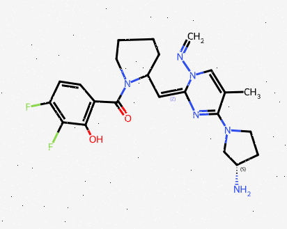 C=NN1C=C(C)C(N2CC[C@H](N)C2)=N/C1=C/C1CCCCN1C(=O)c1ccc(F)c(F)c1O